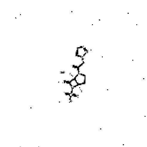 O=C(Cn1cnnn1)N1CC[C@@H]2[C@H]1C(=O)N2S(=O)(=O)O.[NaH]